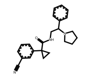 N#Cc1cccc(C2(C(=O)NCC(c3ccccc3)N3CCCC3)CC2)c1